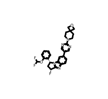 FC(F)Oc1ccccc1[C@H]1C[C@@H](F)c2nc3ccc(-c4cnc(N5CCC6(CC5)COC6)nc4)cc3n21